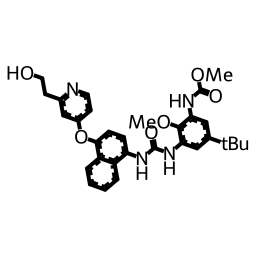 COC(=O)Nc1cc(C(C)(C)C)cc(NC(=O)Nc2ccc(Oc3ccnc(CCO)c3)c3ccccc23)c1OC